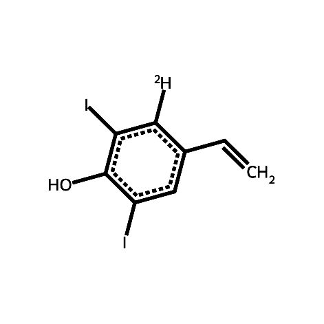 [2H]c1c(C=C)cc(I)c(O)c1I